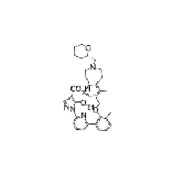 CCOc1c(C(=O)O)cnn1-c1cccc(-c2cccc(C)c2OCc2ccc3c(c2C)CCN(C[C@@H]2CCCCO2)CC3)n1